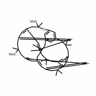 CSC1(C)Cc2cc3cc(c2)CC(C)(C)Cc2cc4cc(c2)C(C)(C)Cc2cc(cc(c2)CC(C)(SC)Cc2cc(cc(c2)C1)CC(C)(C)C4)CC(C)(C)C3